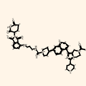 CC(=O)N1CCn2c(C3CCOCC3)nc(-c3ccnc4cc(C5CCN(C(=O)NCCCNc6cccc7c6C(=O)N(C6CCC(=O)NC6=O)C7=O)CC5)ccc34)c2C1